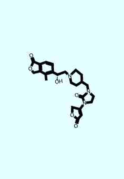 Cc1c([C@@H](O)CN2CCC(CN3CCN(C4=CC(=O)OC4)C3=O)CC2)ccc2c1COC2=O